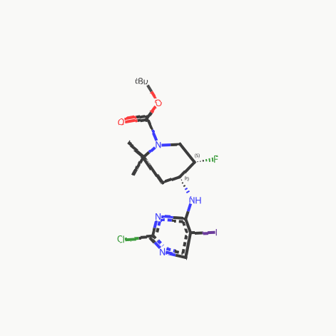 CC(C)(C)OC(=O)N1C[C@H](F)[C@H](Nc2nc(Cl)ncc2I)CC1(C)C